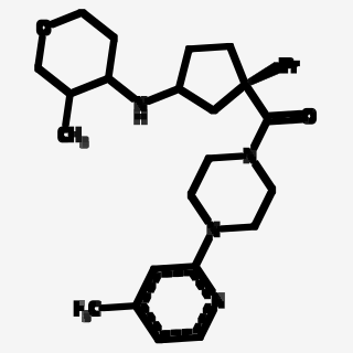 CC1COCCC1NC1CC[C@@](C(=O)N2CCN(c3cc(C(F)(F)F)ccn3)CC2)(C(C)C)C1